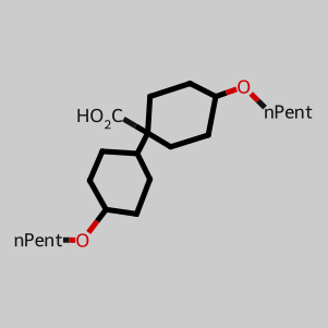 CCCCCOC1CCC(C2(C(=O)O)CCC(OCCCCC)CC2)CC1